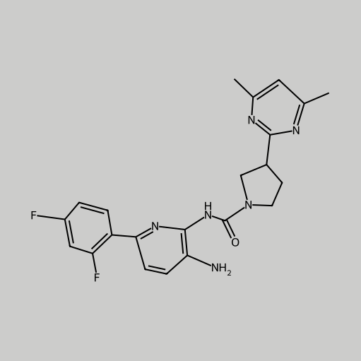 Cc1cc(C)nc(C2CCN(C(=O)Nc3nc(-c4ccc(F)cc4F)ccc3N)C2)n1